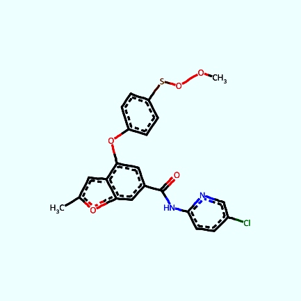 COOSc1ccc(Oc2cc(C(=O)Nc3ccc(Cl)cn3)cc3oc(C)cc23)cc1